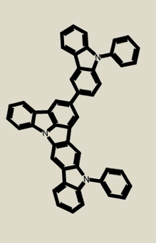 c1ccc(-n2c3ccccc3c3cc(-c4cc5c6ccccc6n6c7cc8c9ccccc9n(-c9ccccc9)c8cc7c(c4)c56)ccc32)cc1